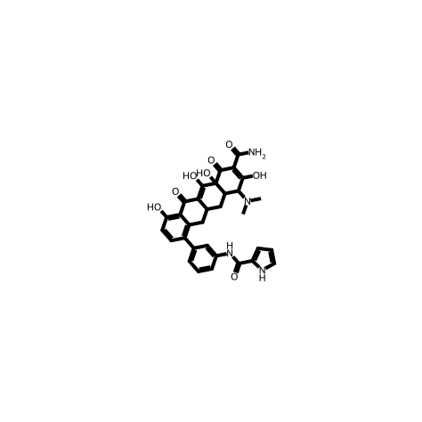 CN(C)C1C(O)=C(C(N)=O)C(=O)C2(O)C(O)=C3C(=O)c4c(O)ccc(-c5cccc(NC(=O)c6ccc[nH]6)c5)c4CC3CC12